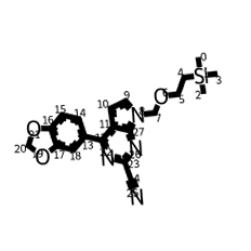 C[Si](C)(C)CCOCn1ccc2c(-c3ccc4c(c3)OCO4)nc(C#N)nc21